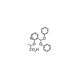 CC(Oc1ncccc1C(Oc1ccccc1)Oc1ccccc1)C(=O)O